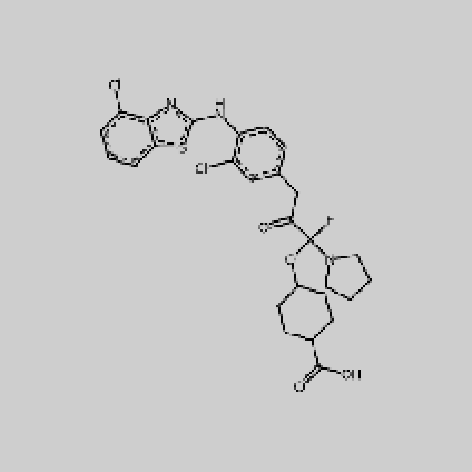 O=C(O)C1CCC(OC(F)(C(=O)Cc2ccc(Nc3nc4c(Cl)cccc4s3)c(Cl)c2)N2CCCC2)CC1